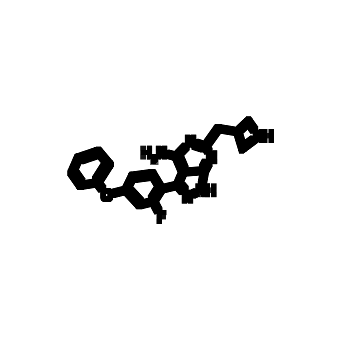 Nc1nc(CC2CNC2)nc2[nH]nc(-c3ccc(Oc4ccccc4)cc3F)c12